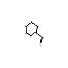 S=CC1C[CH]CCC1